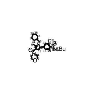 Cc1c(C(=O)N2CCOCC2)cc(-c2ccc([S+]([O-])NC(C)(C)C)c(C(F)(F)F)c2)n1CC1CCCCC1